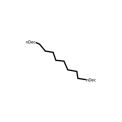 CCCCCCCC[CH]CCCCCCCCCCCCCCCCCCC